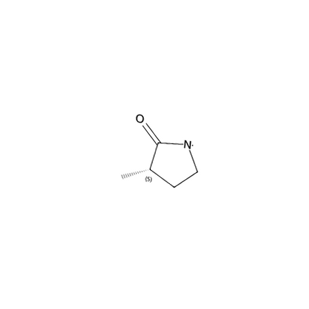 C[C@H]1CC[N]C1=O